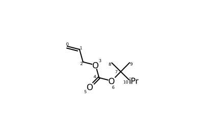 C=CCOC(=O)OC(C)(C)C(C)C